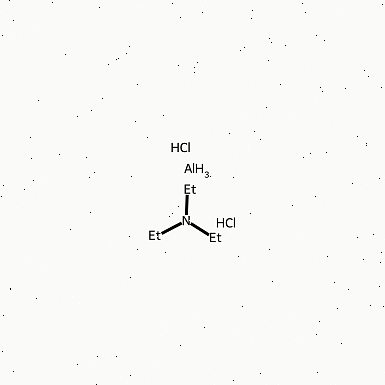 CCN(CC)CC.Cl.Cl.[AlH3]